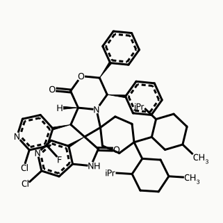 CC1CCC(C(C)C)C(C2(C3CC(C)CCC3C(C)C)CCC3(CC2)N2[C@H](c4ccccc4)[C@H](c4ccccc4)OC(=O)[C@H]2[C@H](c2ccnc(Cl)c2F)[C@@]32C(=O)Nc3cc(Cl)ncc32)C1